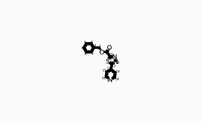 O=C(OCc1ccccc1)c1nnc(-c2ccncc2)s1